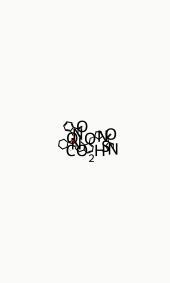 O=C(O)[C@@H]1CCCCC1C(=O)N1CCc2cccc(O[C@H]3CCN(C(=O)c4cncs4)C3)c2[C@H]1CN1Cc2ccccc2C1=O